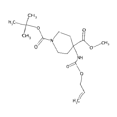 C=CCOC(=O)NC1(C(=O)OC)CCN(C(=O)OC(C)(C)C)CC1